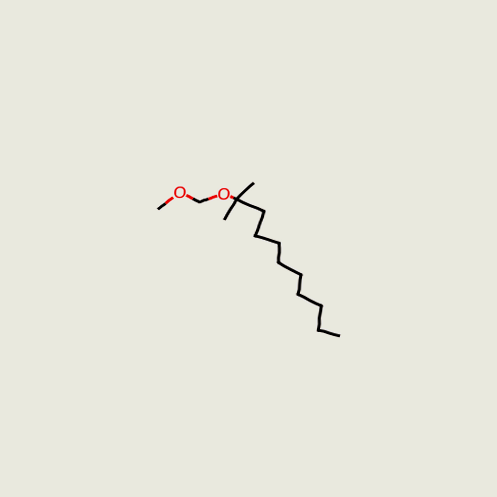 CCCCCCCCCC(C)(C)OCOC